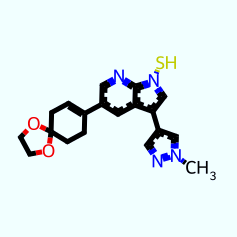 Cn1cc(-c2cn(S)c3ncc(C4=CCC5(CC4)OCCO5)cc23)cn1